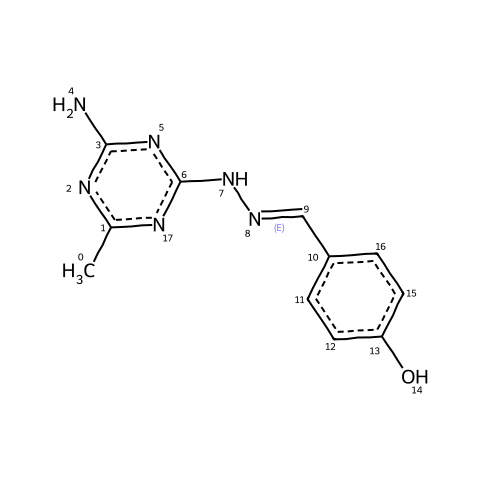 Cc1nc(N)nc(N/N=C/c2ccc(O)cc2)n1